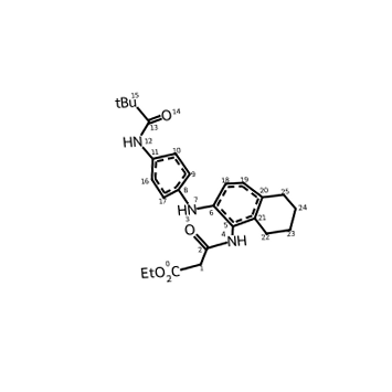 CCOC(=O)CC(=O)Nc1c(Nc2ccc(NC(=O)C(C)(C)C)cc2)ccc2c1CCCC2